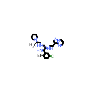 C=C(CN/C=C(/NCCc1cnn2cccnc12)C(=N)c1cc(Cl)ccc1CC)N1CCCCC1